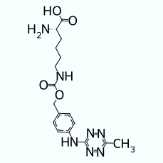 Cc1nnc(Nc2ccc(COC(=O)NCCCC[C@H](N)C(=O)O)cc2)nn1